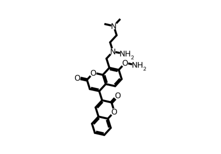 CN(C)CCN(N)Cc1c(ON)ccc2c(-c3cc4ccccc4oc3=O)cc(=O)oc12